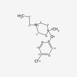 CCCN1CCC(C)(Oc2ccc(Cl)cc2)CC1